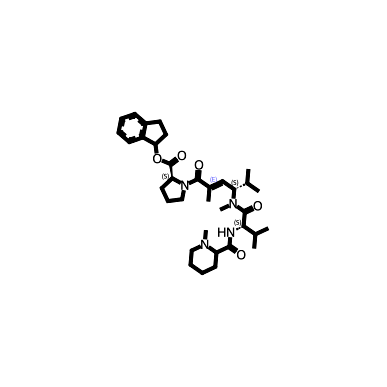 C/C(=C\[C@H](C(C)C)N(C)C(=O)[C@@H](NC(=O)C1CCCCN1C)C(C)C)C(=O)N1CCC[C@H]1C(=O)OC1CCc2ccccc21